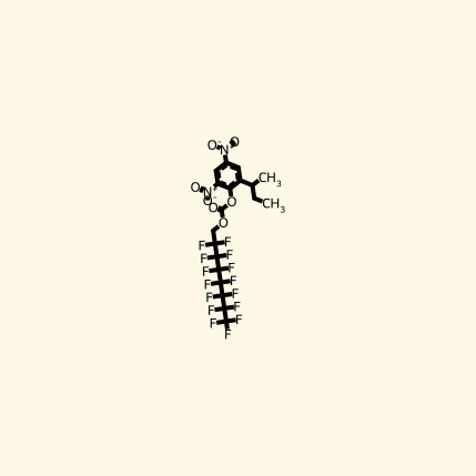 CCC(C)c1cc([N+](=O)[O-])cc([N+](=O)[O-])c1OC(=O)OCC(F)(F)C(F)(F)C(F)(F)C(F)(F)C(F)(F)C(F)(F)C(F)(F)F